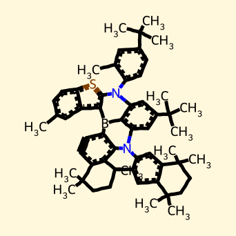 Cc1ccc2sc3c(c2c1)B1c2c#cc4c5c2N(c2cc6c(cc2C5(C)CCC4(C)C)C(C)(C)CCC6(C)C)c2cc(C(C)(C)C)cc(c21)N3c1ccc(C(C)(C)C)cc1C